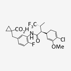 COC1=CC([C@@H](C(=O)Nc2cc(CC3(C(=O)O)CC3)ccc2F)[C@@H](C)C(F)(F)F)CC=C1Cl